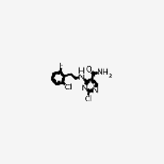 NC(=O)c1cnc(Cl)nc1NCCc1c(F)cccc1Cl